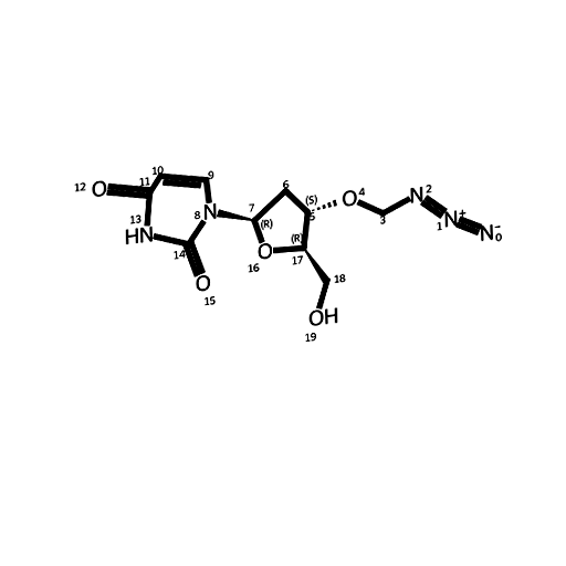 [N-]=[N+]=NCO[C@H]1C[C@H](n2ccc(=O)[nH]c2=O)O[C@@H]1CO